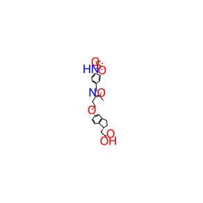 Cc1oc(-c2ccc(NS(C)(=O)=O)cc2)nc1CCOc1ccc2c(c1)CC[C@H]2CC(=O)O